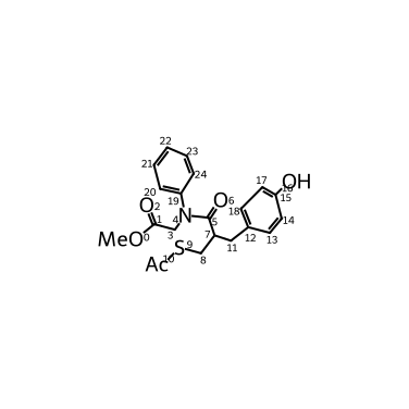 COC(=O)CN(C(=O)C(CSC(C)=O)Cc1ccc(O)cc1)c1ccccc1